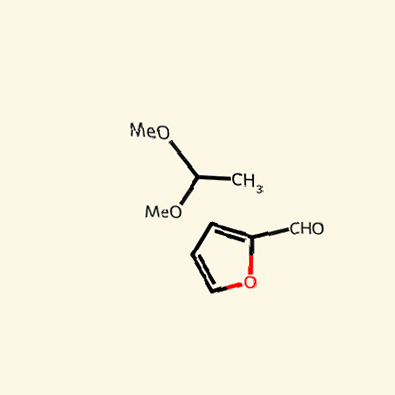 COC(C)OC.O=Cc1ccco1